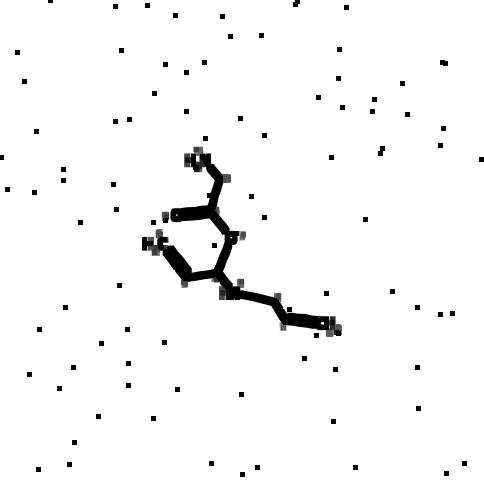 C=CCNC(C=C)OC(=O)CN